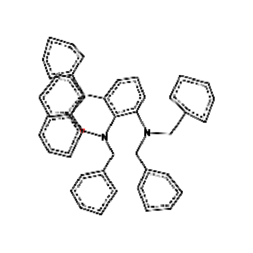 c1ccc(CN(Cc2ccccc2)c2cccc(C(c3ccccc3)c3ccccc3)c2N(Cc2ccccc2)Cc2ccccc2)cc1